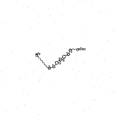 CCCCCCCCCCOCCCc1ccc(-c2ccc(-c3ccc4c(c3)sc3c4sc4c5ccc(-c6ccc(-c7ccc(CCCCCCCCCCOCCC)s7)s6)cc5sc43)s2)s1